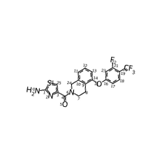 Nc1nc(C(=O)N2CCc3c(cccc3Oc3ccc(C(F)(F)F)c(F)c3)C2)cs1